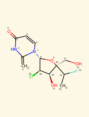 C=C1NC(=O)C=CN1[C@@H]1O[C@@](CO)(C(C)F)[C@@H](O)[C@H]1Cl